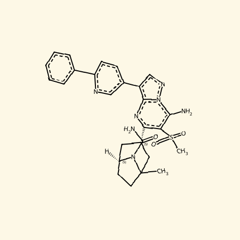 CC12CC[C@@H](C[C@H](c3nc4c(-c5ccc(-c6ccccc6)nc5)cnn4c(N)c3S(C)(=O)=O)C1)N2C(N)=O